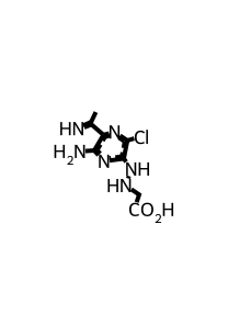 CC(=N)c1nc(Cl)c(NNCC(=O)O)nc1N